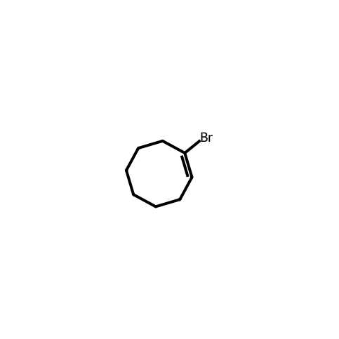 Br/C1=C/CCCCCC1